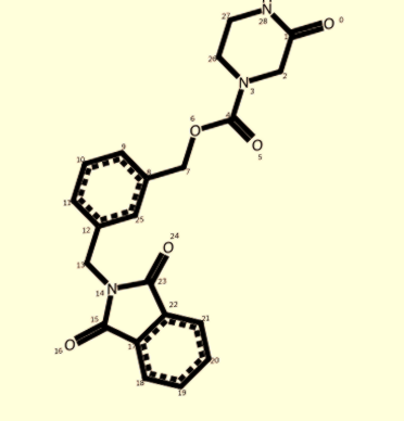 O=C1CN(C(=O)OCc2cccc(CN3C(=O)c4ccccc4C3=O)c2)CCN1